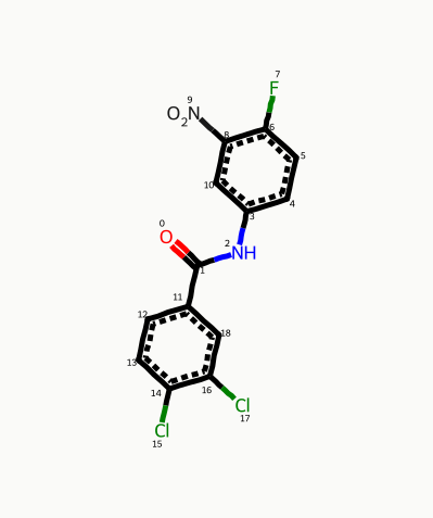 O=C(Nc1ccc(F)c([N+](=O)[O-])c1)c1ccc(Cl)c(Cl)c1